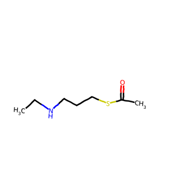 CCNCCCSC(C)=O